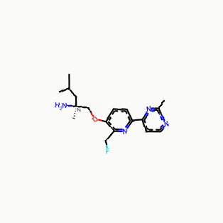 Cc1nccc(-c2ccc(OC[C@@](C)(N)CC(C)C)c(CF)n2)n1